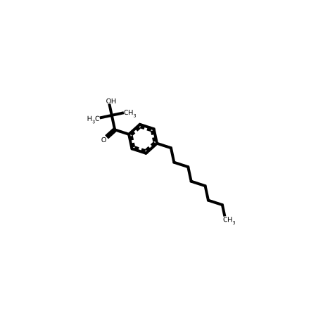 CCCCCCCCc1ccc(C(=O)C(C)(C)O)cc1